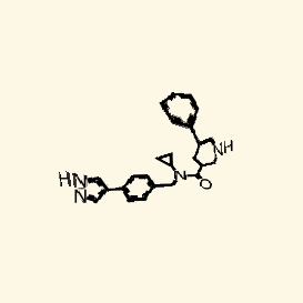 O=C(C1CNCC(c2ccccc2)C1)N(Cc1ccc(-c2cn[nH]c2)cc1)C1CC1